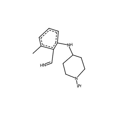 Cc1cccc(NC2CCN(C(C)C)CC2)c1C=N